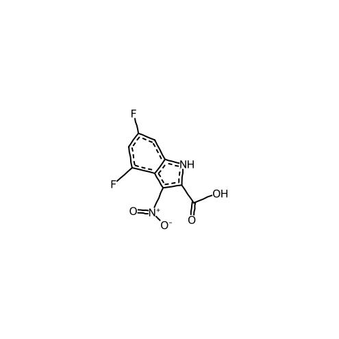 O=C(O)c1[nH]c2cc(F)cc(F)c2c1[N+](=O)[O-]